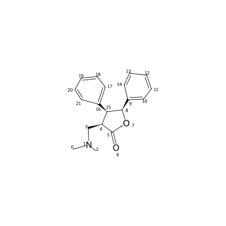 CN(C)C[C@@H]1C(=O)O[C@H](c2ccccc2)[C@@H]1c1ccccc1